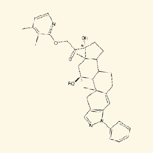 Cc1ccnc(OCC(=O)[C@@]2(O)CCC3C4CCC5=Cc6c(cnn6-c6ccccc6)CC5(C)C4[C@@H](O)CC32C)c1C